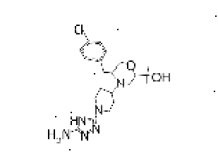 CC(C)(O)C1CN(C2CCN(c3nnc(N)[nH]3)CC2)[C@@H](Cc2ccc(Cl)cc2)CO1